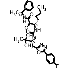 CCCC[C@H](NC(=O)O[C@@H](Cc1nnc(-c2ccc(F)cc2)o1)C(C)(C)C)C(=O)C(=O)N[C@H](C)c1ccccc1